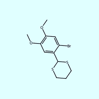 COc1cc(Br)c(C2SCCCS2)cc1OC